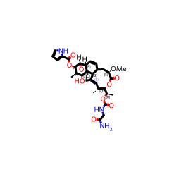 CO[C@H]1CC2C=C[C@H]3[C@H]4O[C@]2(/C(C)=C/[C@@H](C)[C@@H]([C@@H](C)OC(=O)NCC(N)=O)OC1=O)[C@@H]3[C@H](O)[C@@H](C)[C@H]4OC(=O)c1ccc[nH]1